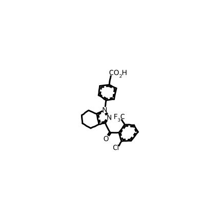 O=C(O)c1ccc(-n2nc(C(=O)c3c(Cl)cccc3C(F)(F)F)c3c2CCCC3)cc1